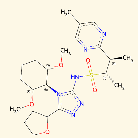 CO[C@H]1CCC[C@@H](OC)[C@@H]1n1c(NS(=O)(=O)[C@@H](C)[C@H](C)c2ncc(C)cn2)nnc1C1CCCO1